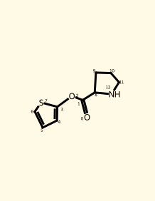 O=C(Oc1cccs1)C1CCCN1